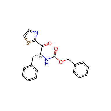 O=C(N[C@H](Cc1ccccc1)C(=O)c1nccs1)OCc1ccccc1